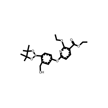 CCOC(=O)c1ccc(Oc2ccc(B3OC(C)(C)C(C)(C)O3)c(CO)c2)nc1OCC